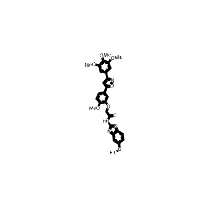 COc1ccc(-c2cc(-c3cc(OC)c(OC)c(OC)c3)no2)cc1OCC(=O)Nc1nc2cc(OC(F)(F)F)ccc2s1